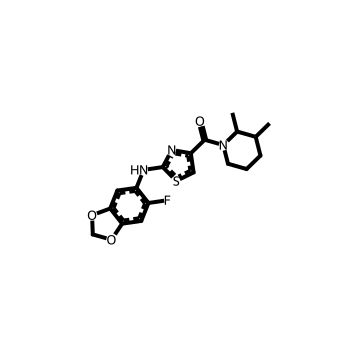 CC1CCCN(C(=O)c2csc(Nc3cc4c(cc3F)OCO4)n2)C1C